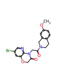 COc1ccc2c(c1)CN(C(=O)CN1C(=O)COc3cc(Br)cnc31)CC2